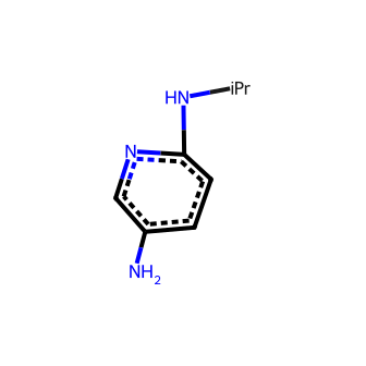 CC(C)Nc1ccc(N)cn1